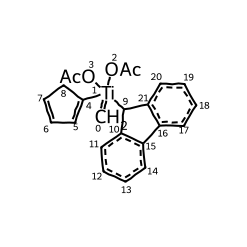 [CH2]=[Ti]([O]C(C)=O)([O]C(C)=O)([C]1=CC=CC1)[CH]1c2ccccc2-c2ccccc21